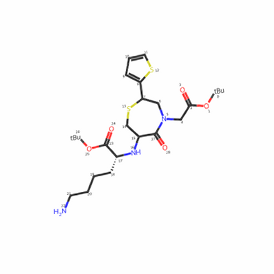 CC(C)(C)OC(=O)CN1CC(c2cccs2)SCC(N[C@H](CCCCN)C(=O)OC(C)(C)C)C1=O